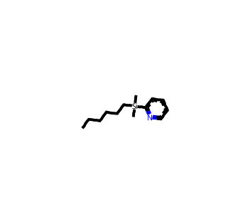 CCCCCC[Si](C)(C)c1ccccn1